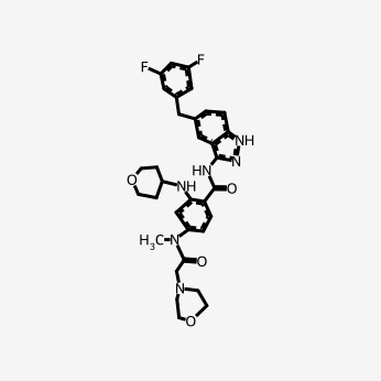 CN(C(=O)CN1CCOCC1)c1ccc(C(=O)Nc2n[nH]c3ccc(Cc4cc(F)cc(F)c4)cc23)c(NC2CCOCC2)c1